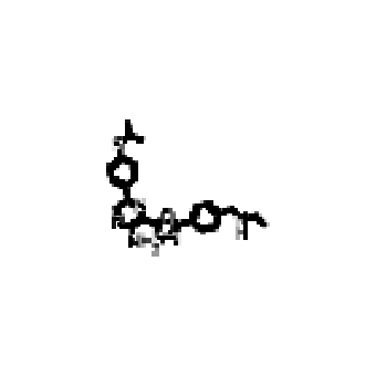 CCNCc1ccc(-c2nnc(-c3nc(-c4ccc(SC(C)C)cc4)cnc3N)o2)cc1